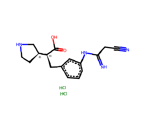 Cl.Cl.N#CCC(=N)Nc1cccc(C[C@H](C(=O)O)[C@H]2CCNC2)c1